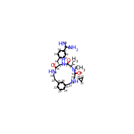 C[C@@H]1C(=O)N[C@H](Cc2ccc(C(=N)N)cc2)C(=O)NCCc2cccc(c2)CN[C@@H](C2CC2)C(=O)N1C